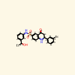 CCC(O)c1cccc(NS(=O)(=O)c2ccc3c(c2)C(=O)CC(c2cccc(C(C)=O)c2)N3)c1